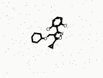 Clc1cccc(Cl)c1-c1noc(C2CC2)c1COC1CCCCC1